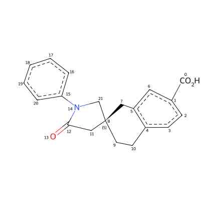 O=C(O)c1ccc2c(c1)C[C@@]1(CC2)CC(=O)N(c2ccccc2)C1